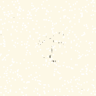 CCN(CC)[C@@H](C)CN=C(N)S.Cl.Cl